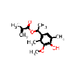 C=C(C)C(=O)OC(C)c1cc(C)c(O)c(OC)c1C